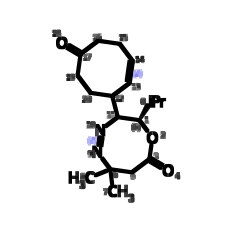 CC(C)[C@H]1OC(=O)CC(C)(C)/N=N\C1C1/C=C\CCC(=O)CC1